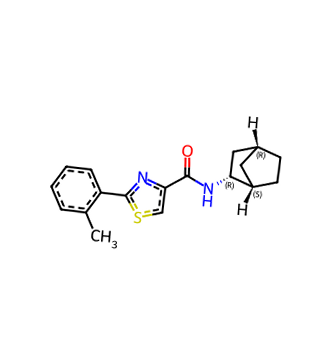 Cc1ccccc1-c1nc(C(=O)N[C@@H]2C[C@@H]3CC[C@H]2C3)cs1